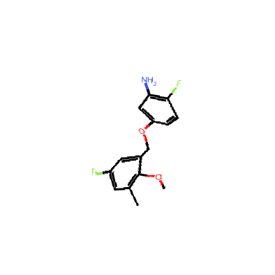 COc1c(C)cc(F)cc1COc1ccc(F)c(N)c1